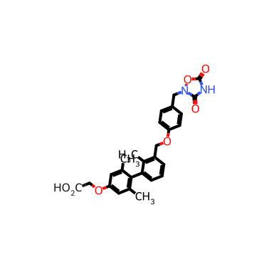 Cc1cc(OCC(=O)O)cc(C)c1-c1cccc(COc2ccc(Cn3oc(=O)[nH]c3=O)cc2)c1C